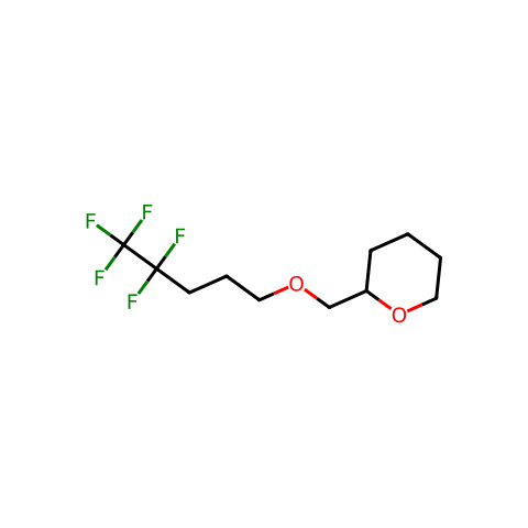 FC(F)(F)C(F)(F)CCCOCC1CCCCO1